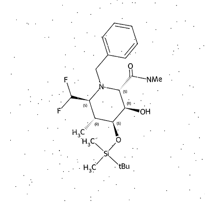 CNC(=O)[C@@H]1[C@@H](O)[C@@H](O[Si](C)(C)C(C)(C)C)[C@H](C)[C@@H](C(F)F)N1Cc1ccccc1